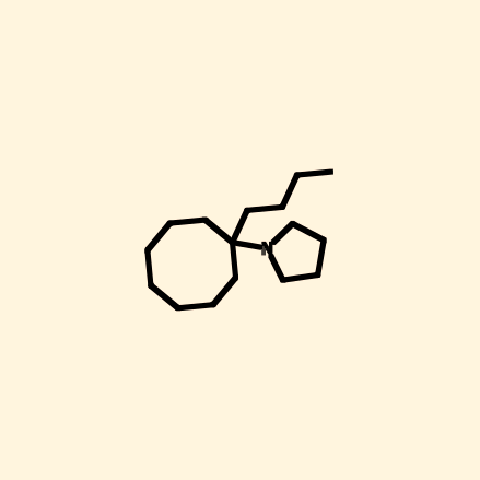 CCCCC1(N2CCCC2)CCCCCCC1